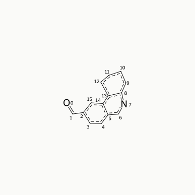 O=Cc1ccc2cnc3ccccc3c2c1